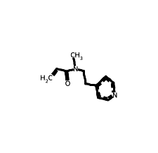 C=CC(=O)N(C)CCc1ccncc1